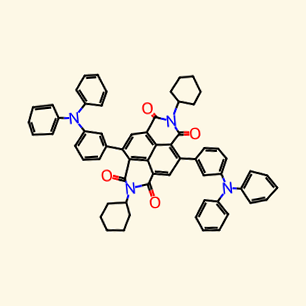 O=C1c2cc(-c3cccc(N(c4ccccc4)c4ccccc4)c3)c3c4c(cc(-c5cccc(N(c6ccccc6)c6ccccc6)c5)c(c24)C(=O)N1C1CCCCC1)C(=O)N(C1CCCCC1)C3=O